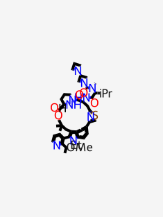 CCn1c(-c2cccnc2[C@H](C)OC)c2c3cc(ccc31)-c1csc(n1)C[C@H](NC(=O)C(C(C)C)N(C)C(=O)N1CC(N3CCC3)C1)C(=O)N1CCC[C@H](N1)C(=O)OCC(C)(C)C2